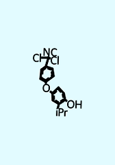 CC(C)c1cc(Oc2ccc(C(Cl)(Cl)C#N)cc2)ccc1O